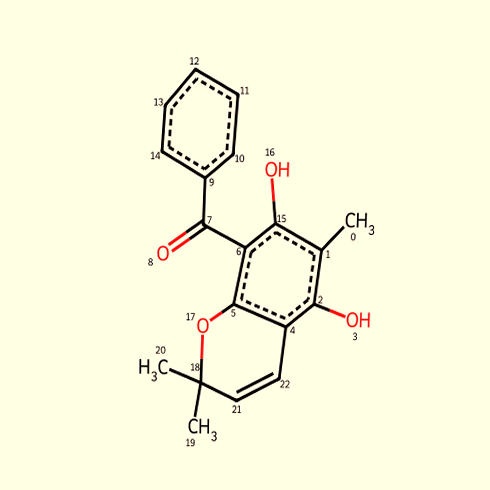 Cc1c(O)c2c(c(C(=O)c3ccccc3)c1O)OC(C)(C)C=C2